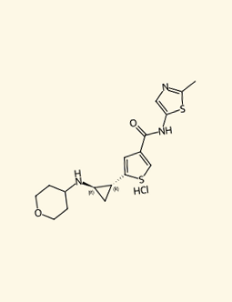 Cc1ncc(NC(=O)c2csc([C@@H]3C[C@H]3NC3CCOCC3)c2)s1.Cl